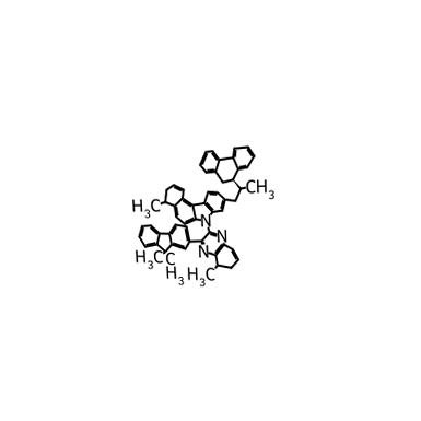 CC1CC=Cc2c1ccc1c2c2ccc(CC(C)[C@H]3Cc4ccccc4-c4ccccc43)cc2n1-c1nc2c(nc1-c1ccc3c(c1)C(C)(C)c1ccccc1-3)C(C)CC=C2